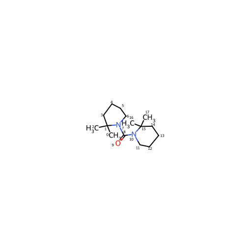 CC1(C)CCCCN1C(=O)N1CCCCC1(C)C